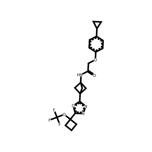 O=C(COc1ccc(C2CC2)cc1)NC12CC(c3nnc(C4(OC(F)(F)F)CCC4)o3)(C1)C2